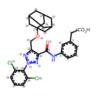 O=C(O)Cc1cccc(NC(=O)c2nn(-c3c(Cl)cccc3Cl)nc2COC23CC4CC(CC(C4)C2)C3)c1